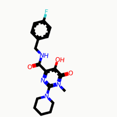 Cn1c(N2CCCCC2)nc(C(=O)NCc2ccc(F)cc2)c(O)c1=O